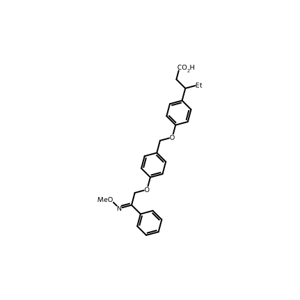 CCC(CC(=O)O)c1ccc(OCc2ccc(OC/C(=N\OC)c3ccccc3)cc2)cc1